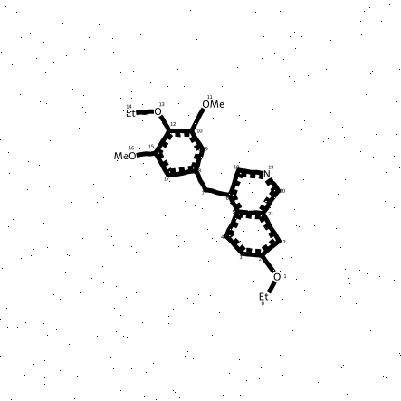 CCOc1ccc2c(Cc3cc(OC)c(OCC)c(OC)c3)cncc2c1